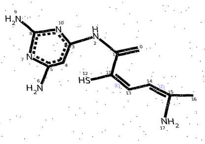 C=C(Nc1cc(N)nc(N)n1)/C(S)=C\C=C(\C)N